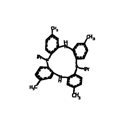 Cc1ccc2c(c1)Nc1cc(C)ccc1P(C(C)C)c1ccc(C)cc1Nc1cc(C)ccc1P2C(C)C